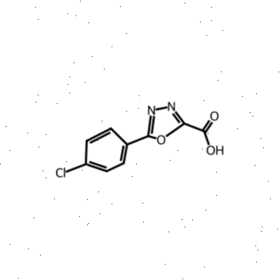 O=C(O)c1nnc(-c2ccc(Cl)cc2)o1